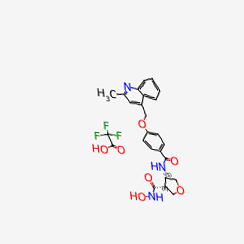 Cc1cc(COc2ccc(C(=O)N[C@@H]3COC[C@@H]3C(=O)NO)cc2)c2ccccc2n1.O=C(O)C(F)(F)F